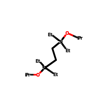 CC[Si](CC)(CC[Si](CC)(CC)OC(C)C)OC(C)C